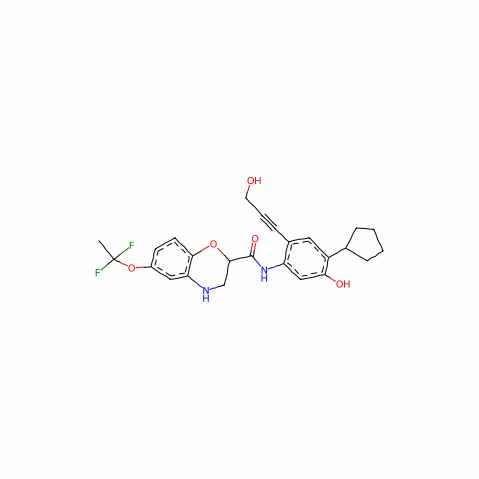 CC(F)(F)Oc1ccc2c(c1)NCC(C(=O)Nc1cc(O)c(C3CCCC3)cc1C#CCO)O2